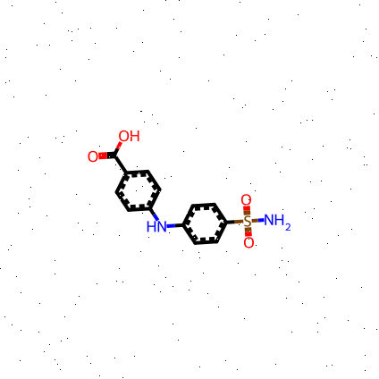 NS(=O)(=O)c1ccc(Nc2ccc(C(=O)O)cc2)cc1